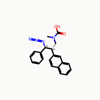 CN(C[C@H](c1ccc2ccccc2c1)[C@H](N=[N+]=[N-])c1ccccc1)C(=O)O